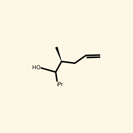 C=CC[C@H](C)C(O)C(C)C